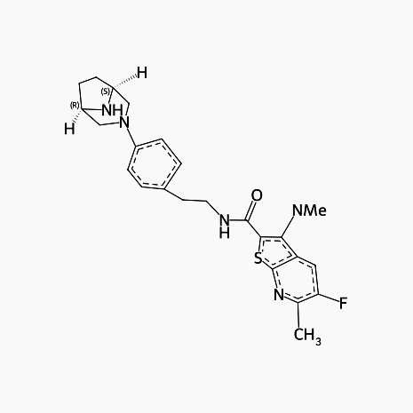 CNc1c(C(=O)NCCc2ccc(N3C[C@H]4CC[C@@H](C3)N4)cc2)sc2nc(C)c(F)cc12